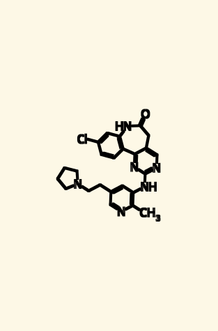 Cc1ncc(CCN2CCCC2)cc1Nc1ncc2c(n1)-c1ccc(Cl)cc1NC(=O)C2